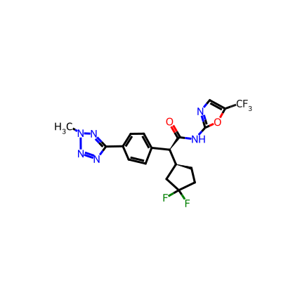 Cn1nnc(-c2ccc([C@@H](C(=O)Nc3ncc(C(F)(F)F)o3)[C@H]3CCC(F)(F)C3)cc2)n1